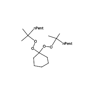 CCCCCC(C)(C)OOC1(OOC(C)(C)CCCCC)CCCCC1